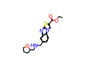 CCOC(=O)c1cn2c(nc3cc(CNCC4CCCO4)ccc32)s1